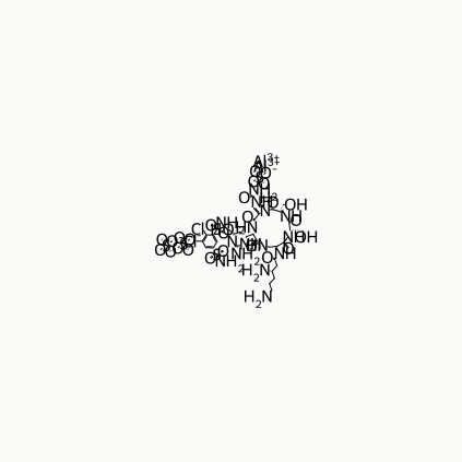 NCCC[C@H](N)CC(=O)N[C@H]1CNC(=O)[C@H]([C@H]2C[C@H](O)N=C(N)N2)NC(=O)/C(=C/NC(N)=O)NC(=O)[C@H](CO)NC(=O)[C@H](CO)NC1=O.NS(=O)(=O)c1cc(Cl)c(Cl)c(S(N)(=O)=O)c1.O=S(=O)([O-])[O-].O=S(=O)([O-])[O-].O=S(=O)([O-])[O-].[Al+3].[Al+3]